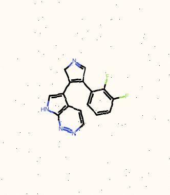 Fc1cccc(C2=C(c3c[nH]c4nnccc34)CN=C2)c1F